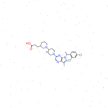 Cc1nn(C(C)c2ccc(Cl)cc2Cl)c2nc(N3CCC(N4CCCC(CCC(=O)O)C4)[C@@H](C)C3)cnc12